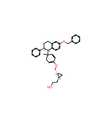 CC1([C@@H]2c3ccc(OCc4ccccc4)cc3CC[C@@H]2c2ccccc2)C=CC(OC[C@@H]2C[C@H]2CCO)=CC1